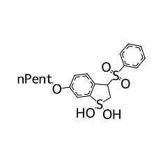 CCCCCOc1ccc2c(c1)S(O)(O)CC2S(=O)(=O)c1ccccc1